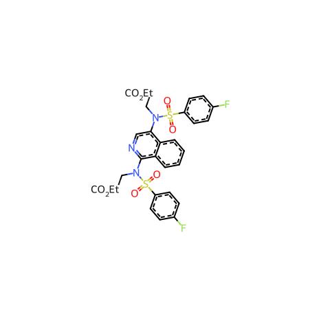 CCOC(=O)CN(c1cnc(N(CC(=O)OCC)S(=O)(=O)c2ccc(F)cc2)c2ccccc12)S(=O)(=O)c1ccc(F)cc1